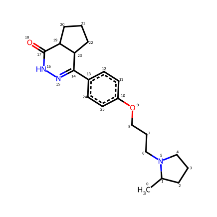 CC1CCCN1CCCOc1ccc(C2=NNC(=O)C3CCCC23)cc1